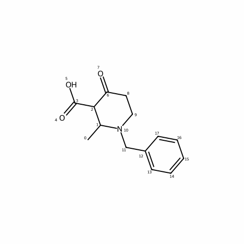 CC1C(C(=O)O)C(=O)CCN1Cc1ccccc1